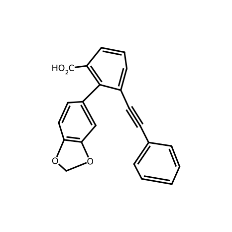 O=C(O)c1cccc(C#Cc2ccccc2)c1-c1ccc2c(c1)OCO2